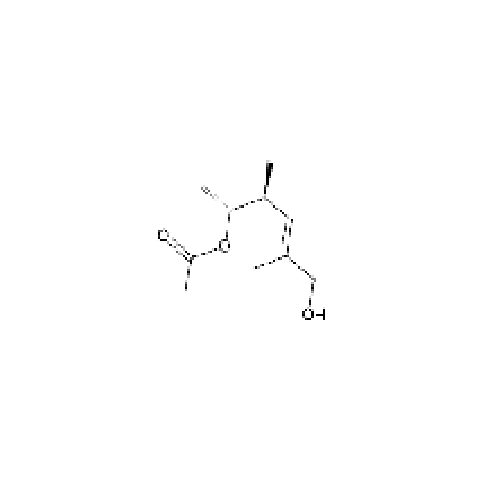 CC(=O)O[C@H](C)[C@@H](C)/C=C(\C)CO